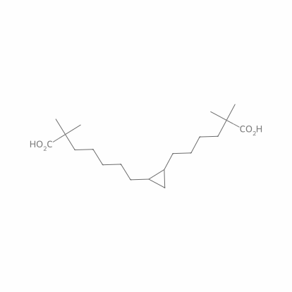 CC(C)(CCCCCC1CC1CCCCC(C)(C)C(=O)O)C(=O)O